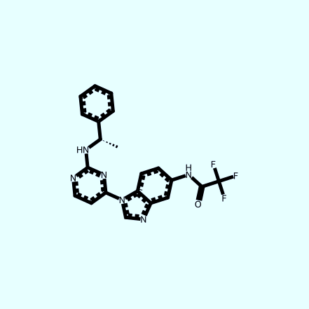 C[C@H](Nc1nccc(-n2cnc3cc(NC(=O)C(F)(F)F)ccc32)n1)c1ccccc1